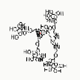 CC(=O)N[C@H]1[C@H](OCCOCCn2cc(CN(CCCCC(C(=O)O)N(Cc3cn(CCOCCO[C@@H]4O[C@H](CO)[C@H](O)[C@H](O)[C@H]4NC(C)=O)nn3)Cc3cn(CCOCCO[C@@H]4O[C@H](CO)[C@H](O)[C@H](O)[C@H]4NC(C)=O)nn3)Cc3cn(CCOCCO[C@@H]4O[C@H](CO)[C@H](O)[C@H](O)[C@H]4NC(C)=O)nn3)nn2)O[C@H](CO)[C@H](O)[C@@H]1O